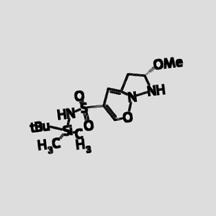 CO[C@H]1CC2=CC(S(=O)(=O)N[Si](C)(C)C(C)(C)C)=CON2N1